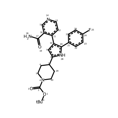 CC(C)(C)OC(=O)N1CCC(c2cc(-c3ccncc3C(N)=O)c(-c3ccc(F)cc3)[nH]2)CC1